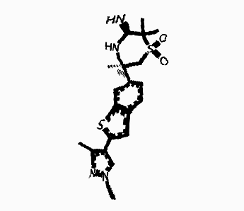 Cc1nn(C)cc1-c1cc2ccc([C@]3(C)CS(=O)(=O)C(C)(C)C(=N)N3)cc2s1